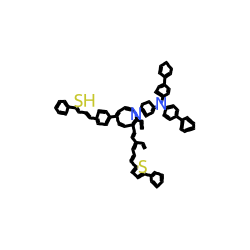 C=CC(/C=C/c1ccc(-c2ccc(/C=C/C=C(\S)c3ccccc3)cc2)cccn(C2=CC=C(N(c3ccc(C4=CCCC=C4)cc3)c3ccc(-c4ccccc4)cc3)CC2)c1C=C)=C\C=C\c1ccc(-c2ccccc2)s1